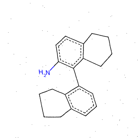 Nc1ccc2c(c1-c1cccc3c1CCCC3)CCCC2